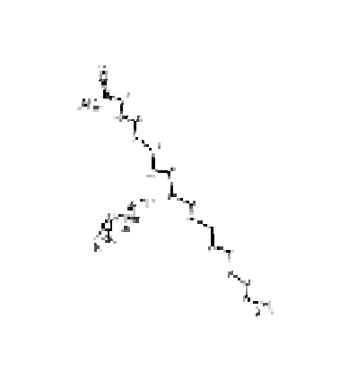 CCCCCCCCCCCCCCCCC[C](=O)[Al+2].[Cl-].[Cl-].[Cl-].[Cl-].[Cl-].[Cr+3]